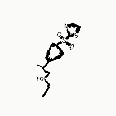 CCNC[C@@H](C)c1ccc(S(=O)(=O)c2nccs2)cc1